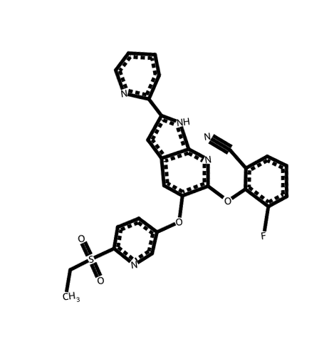 CCS(=O)(=O)c1ccc(Oc2cc3cc(-c4ccccn4)[nH]c3nc2Oc2c(F)cccc2C#N)cn1